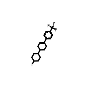 FC(F)(F)c1ccc(C2=CCC(C3CCC(I)CC3)CC2)cc1